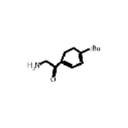 CC(C)(C)C1=CC=C(C(=O)CN)CC1